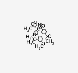 C=C(C(=O)c1ccc(S(=O)(=O)Nc2cc(C)on2)cc1)c1cc(-c2cccn2C)c(OC)cc1OC